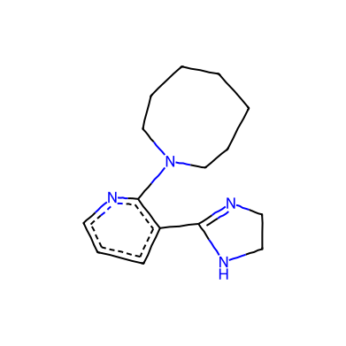 c1cnc(N2CCCCCCC2)c(C2=NCCN2)c1